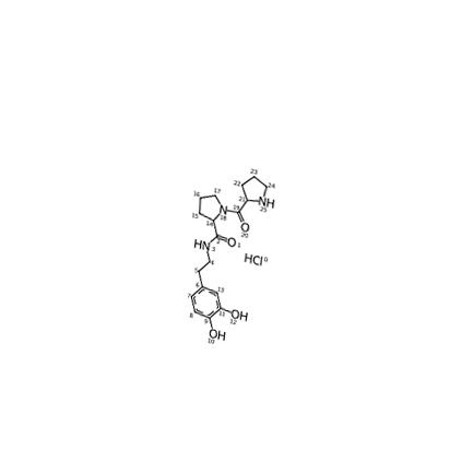 Cl.O=C(NCCc1ccc(O)c(O)c1)C1CCCN1C(=O)C1CCCN1